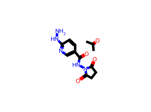 CC(C)=O.NNc1ccc(C(=O)NN2C(=O)CCC2=O)cn1